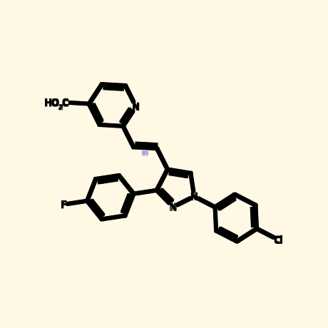 O=C(O)c1ccnc(/C=C/c2cn(-c3ccc(Cl)cc3)nc2-c2ccc(F)cc2)c1